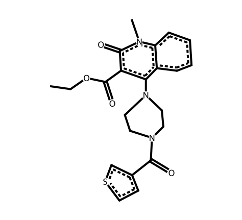 CCOC(=O)c1c(N2CCN(C(=O)c3ccsc3)CC2)c2ccccc2n(C)c1=O